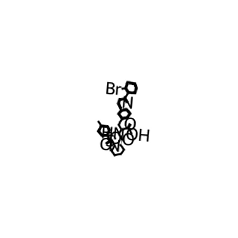 Cc1ccc(S(=O)(=O)N2CCCC[C@H]2C(=O)NC(Cc2ccc3nc(-c4ccccc4Br)ccc3c2)C(=O)O)cc1